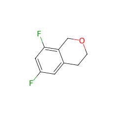 Fc1cc(F)c2c(c1)CCOC2